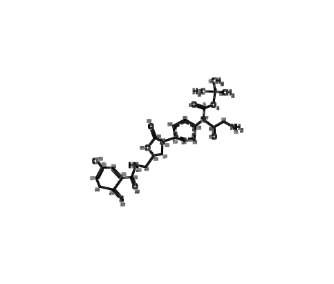 CC(C)(C)OC(=O)N(C(=O)CN)c1ccc(N2CC(CNC(=O)C3=CC(Cl)=CCC3=S)OC2=O)cc1